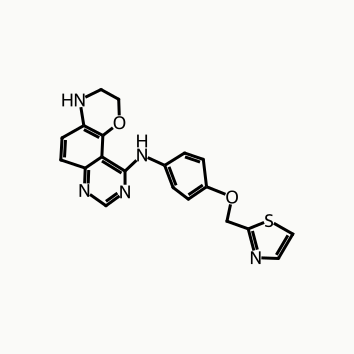 c1csc(COc2ccc(Nc3ncnc4ccc5c(c34)OCCN5)cc2)n1